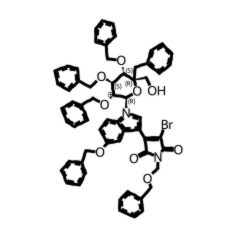 O=C1C(Br)=C(c2cn([C@@H]3O[C@@](CO)(Cc4ccccc4)[C@@H](OCc4ccccc4)[C@H](OCc4ccccc4)[C@H]3OCc3ccccc3)c3ccc(OCc4ccccc4)cc23)C(=O)N1COCc1ccccc1